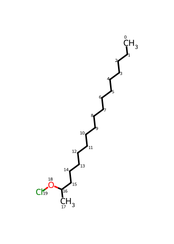 CCCCCCCCCCCCCCCCC(C)OCl